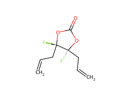 C=CC[C@]1(F)OC(=O)O[C@@]1(F)CC=C